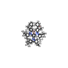 CC(C)(C)c1cc(N2c3cc(C(C)(C)C)c(-c4ccccc4)cc3B3c4cc(-c5ccccc5)c(C(C)(C)C)cc4N(c4cc(C(C)(C)C)cc(C(C)(C)C)c4)c4cc(-n5c6ccc(C(C)(C)C)cc6c6cc(C(C)(C)C)ccc65)cc2c43)cc(C(C)(C)C)c1